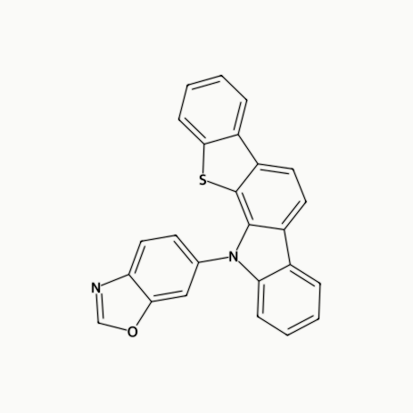 c1ccc2c(c1)sc1c2ccc2c3ccccc3n(-c3ccc4ncoc4c3)c21